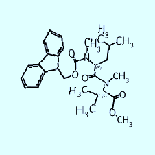 COC(=O)[C@H](C(C)C)N(C)C(=O)[C@H](CC(C)C)N(C)C(=O)OCC1c2ccccc2-c2ccccc21